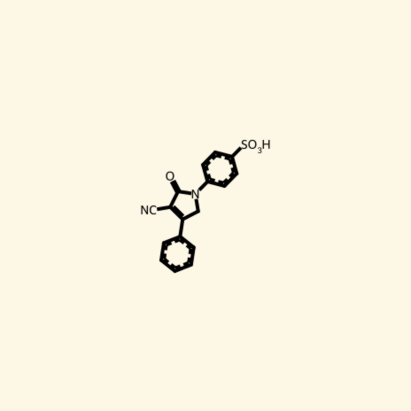 N#CC1=C(c2ccccc2)CN(c2ccc(S(=O)(=O)O)cc2)C1=O